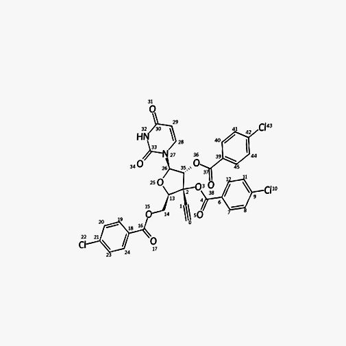 C#C[C@@]1(OC(=O)c2ccc(Cl)cc2)[C@@H](COC(=O)c2ccc(Cl)cc2)O[C@@H](n2ccc(=O)[nH]c2=O)[C@@H]1OC(=O)c1ccc(Cl)cc1